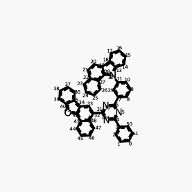 c1ccc(-c2nc(-c3cccc(-n4c5ccccc5c5ccc6ccccc6c54)c3)nc(-c3cc4c5ccccc5oc4c4ccccc34)n2)cc1